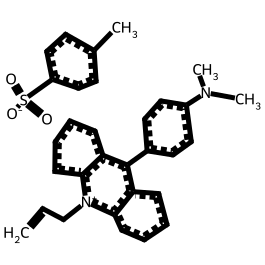 C=CC[n+]1c2ccccc2c(-c2ccc(N(C)C)cc2)c2ccccc21.Cc1ccc(S(=O)(=O)[O-])cc1